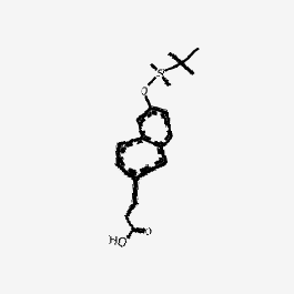 CC(C)(C)[Si](C)(C)Oc1ccc2cc(CCC(=O)O)ccc2c1